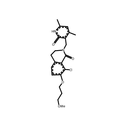 COCCCOc1ccc2c(c1Cl)C(=O)N(Cc1c(C)cc(C)[nH]c1=O)CC2